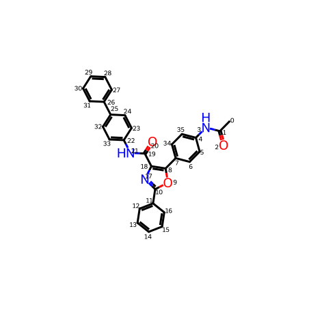 CC(=O)Nc1ccc(-c2oc(-c3ccccc3)nc2C(=O)Nc2ccc(-c3ccccc3)cc2)cc1